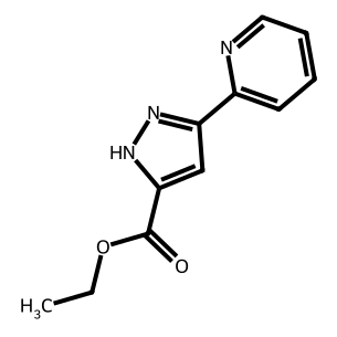 CCOC(=O)c1cc(-c2ccccn2)n[nH]1